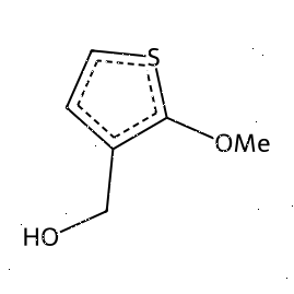 COc1sccc1CO